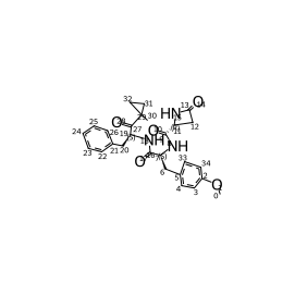 COc1ccc(C[C@H](NC(=O)[C@H]2CC(=O)N2)C(=O)N[C@@H](Cc2ccccc2)C(=O)C2(C)CC2)cc1